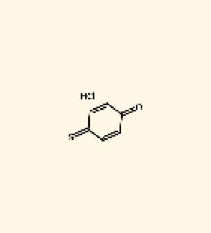 Cl.O=C1C=CC(=S)C=C1